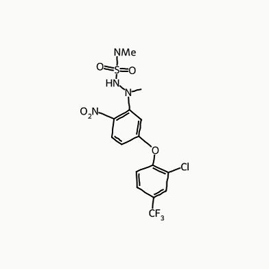 CNS(=O)(=O)NN(C)c1cc(Oc2ccc(C(F)(F)F)cc2Cl)ccc1[N+](=O)[O-]